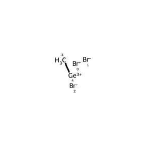 [Br-].[Br-].[Br-].[CH3][Ge+3]